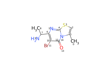 Cc1csc2nc(C(C)N)c(Br)c(=O)n12